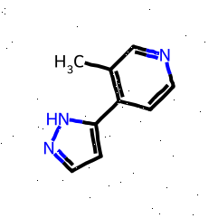 Cc1cnccc1-c1ccn[nH]1